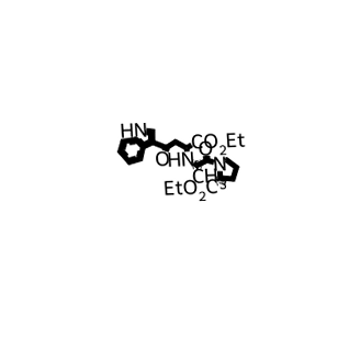 CCOC(=O)C(CC(=O)c1c[nH]c2ccccc12)N[C@@H](C)C(=O)N1CCC[C@H]1C(=O)OCC